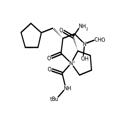 CC(C)(C)NC(=O)[N+]1(C(=O)[C@H](CC2CCCC2)CN(O)C=O)CCC[C@H]1C(N)=O